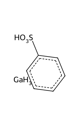 O=S(=O)(O)c1ccccc1.[GaH3]